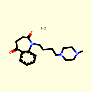 CN1CCN(CCCCN2C(=O)CCC(=O)c3ccccc32)CC1.Cl